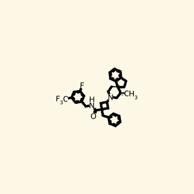 C[C@H]1CN(C2CC(Cc3ccccc3)(C(=O)NCc3cc(F)cc(C(F)(F)F)c3)C2)CC[C@@]12CCc1ccccc12